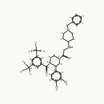 O=C(CNC1CCN(Cc2ccccc2)CC1)N1CCN(C(=O)c2cc(C(F)(F)F)cc(C(F)(F)F)c2)C(c2ccc(Cl)c(Cl)c2)C1